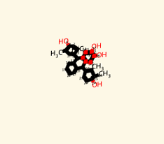 Cc1cc(C(c2ccc(O)c(C)c2)c2ccccc2C(c2ccc(O)c(C)c2)c2ccc(O)c(C)c2)ccc1O